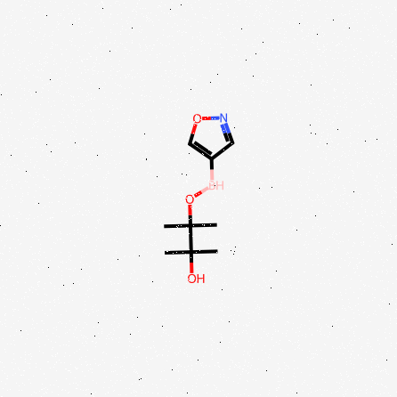 CC(C)(O)C(C)(C)OBc1cnoc1